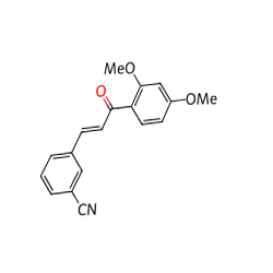 COc1ccc(C(=O)/C=C/c2cccc(C#N)c2)c(OC)c1